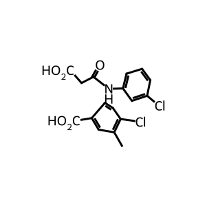 Cc1cc(C(=O)O)ccc1Cl.O=C(O)CC(=O)Nc1cccc(Cl)c1